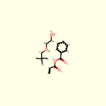 C=CC(=O)OC(=O)c1ccccc1.CC(C)(C)COCCO